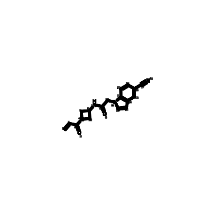 C=CC(=O)N1CC(NC(=O)Cn2ccc3cc(C#N)ccc32)C1